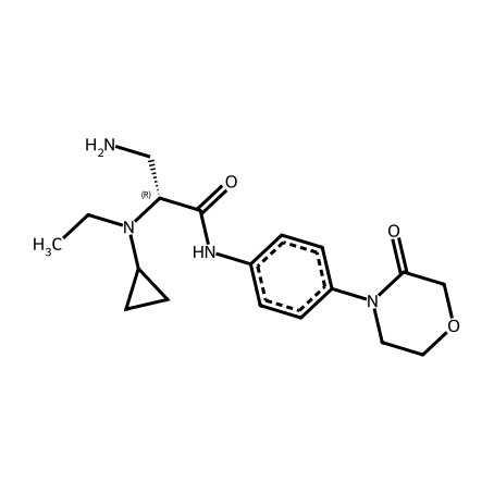 CCN(C1CC1)[C@H](CN)C(=O)Nc1ccc(N2CCOCC2=O)cc1